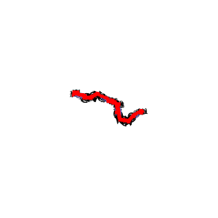 CC1=C(/C=C/C(C)=C/C=C/C(C)=C/C(=O)OCCCN(C)CCOCCN(C)CCCOC(=O)/C=C(C)/C=C/C=C(C)/C=C/C2=C(C)C(CC3=C(CC/C(C)=C/C=C/C(C)=C/C(=O)OCCCN(C)CCOCCOCCN(C)CCCOC(=O)/C=C(C)/C=C/C=C(\C)C#CC4(C)C(C)CCCC4(C)C)C(C)(C)CCC3)CCC2(C)C)C(C)(C)CCC1